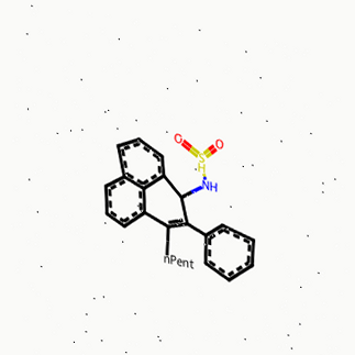 CCCCCC1=C(c2ccccc2)C(N[SH](=O)=O)c2cccc3cccc1c23